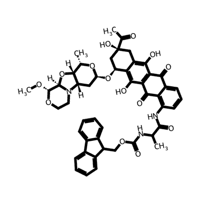 CO[C@H]1OCCN2[C@@H]1O[C@@H]1[C@H](C)O[C@@H](O[C@H]3C[C@](O)(C(C)=O)Cc4c(O)c5c(c(O)c43)C(=O)c3c(NC(=O)C(C)NC(=O)OCC4c6ccccc6-c6ccccc64)cccc3C5=O)C[C@@H]12